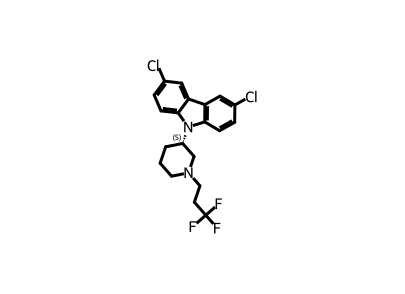 FC(F)(F)CCN1CCC[C@H](n2c3ccc(Cl)cc3c3cc(Cl)ccc32)C1